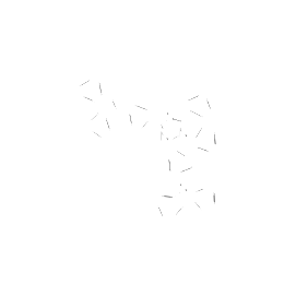 c1ccc(-c2nc(-c3ccc(-c4cc5ccccc5c5ccccc45)cc3)nc(-c3ccc(-n4c5ccccc5c5ccccc54)cc3-c3ccccc3)n2)cc1